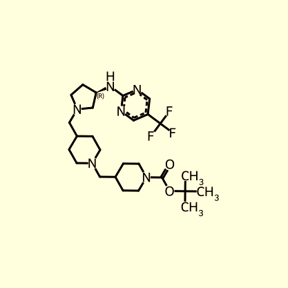 CC(C)(C)OC(=O)N1CCC(CN2CCC(CN3CC[C@@H](Nc4ncc(C(F)(F)F)cn4)C3)CC2)CC1